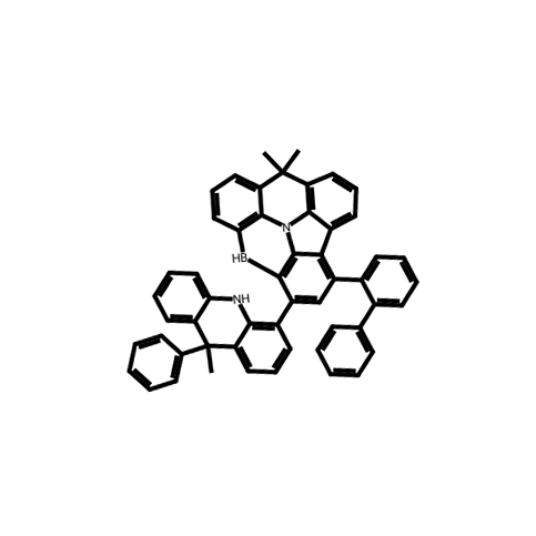 CC1(C)c2cccc3c2-n2c4c1cccc4c1c(-c4ccccc4-c4ccccc4)cc(-c4cccc5c4Nc4ccccc4C5(C)c4ccccc4)c(c12)B3